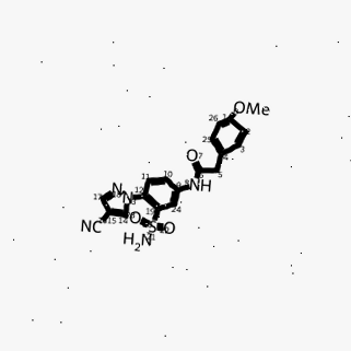 COc1ccc(CC(=O)Nc2ccc(-n3cc(C#N)cn3)c(S(N)(=O)=O)c2)cc1